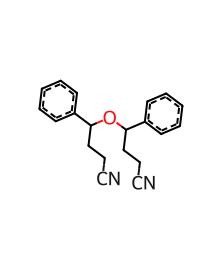 N#CCCC(OC(CCC#N)c1ccccc1)c1ccccc1